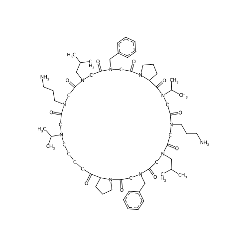 CC(C)CN1CC(=O)N(Cc2ccccc2)CC(=O)N2CCCC2C(=O)CCCCN(C(C)C)CC(=O)N(CCCN)CC(=O)N(CC(C)C)CC(=O)N(Cc2ccccc2)CC(=O)N2CCCC2C(=O)N(C(C)C)CC(=O)N(CCCN)CC1=O